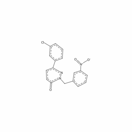 O=c1ccc(-c2cccc(Cl)c2)nn1Cc1cccc([N+](=O)[O-])c1